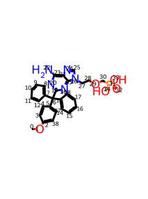 COc1ccc(C(c2ccccc2)(c2ccccc2)c2nc(N)c3ncn(CCOCP(=O)(O)O)c3n2)cc1